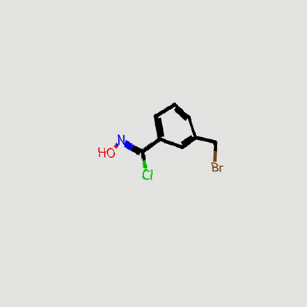 ON=C(Cl)c1cccc(CBr)c1